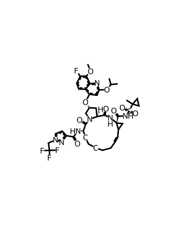 COc1c(F)ccc2c(O[C@@H]3C[C@H]4C(=O)N[C@]5(C(=O)NS(=O)(=O)C6(C)CC6)CC5/C=C\CCCCC[C@H](NC(=O)c5ccn(CC(F)(F)F)n5)C(=O)N4C3)cc(OC(C)C)nc12